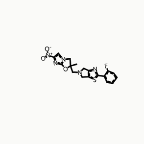 CC1(CN2Cc3nc(-c4ccccc4F)sc3C2)Cn2cc([N+](=O)[O-])nc2O1